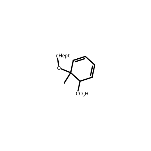 CCCCCCCOC1(C)C=CC=CC1C(=O)O